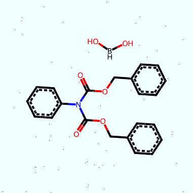 O=C(OCc1ccccc1)N(C(=O)OCc1ccccc1)c1ccccc1.OBO